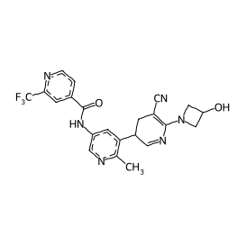 Cc1ncc(NC(=O)c2ccnc(C(F)(F)F)c2)cc1C1C=NC(N2CC(O)C2)=C(C#N)C1